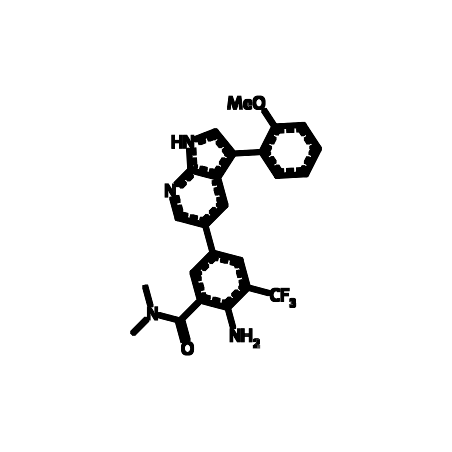 COc1ccccc1-c1c[nH]c2ncc(-c3cc(C(=O)N(C)C)c(N)c(C(F)(F)F)c3)cc12